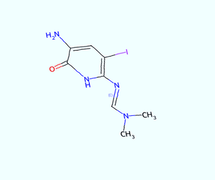 CN(C)/C=N/c1[nH]c(=O)c(N)cc1I